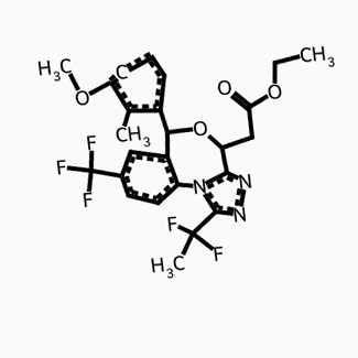 CCOC(=O)CC1OC(c2cccc(OC)c2C)c2cc(C(F)(F)F)ccc2-n2c1nnc2C(C)(F)F